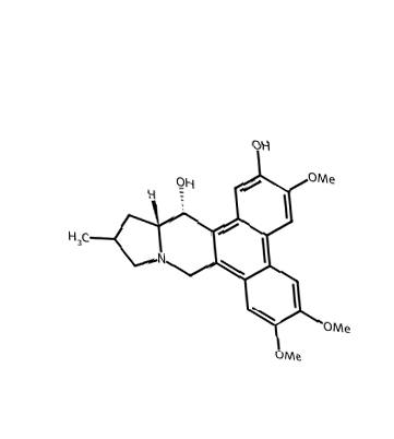 COc1cc2c(cc1O)c1c(c3cc(OC)c(OC)cc32)CN2CC(C)C[C@@H]2[C@@H]1O